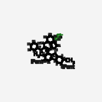 CCCC(C)c1cc2c(cc1C)Cc1c-2cc(C(C)CCC)c(C)[c]1[Zr+2]([C]1=CC=CC1)=[C](Cc1ccccc1)Cc1ccccc1.[Cl-].[Cl-]